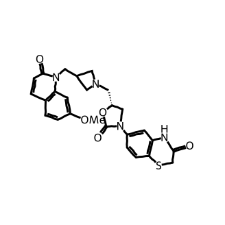 COc1ccc2ccc(=O)n(CC3CN(C[C@@H]4CN(c5ccc6c(c5)NC(=O)CS6)C(=O)O4)C3)c2c1